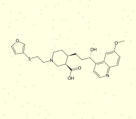 COc1ccc2nccc([C@@H](O)CC[C@@H]3CCN(CCSc4ccoc4)C[C@@H]3C(=O)O)c2c1